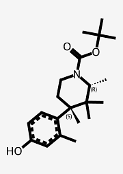 Cc1cc(O)ccc1[C@]1(C)CCN(C(=O)OC(C)(C)C)[C@H](C)C1(C)C